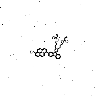 C=CC(=O)OCCCCCC1(CCCCCOC(=O)C=C)c2ccccc2-c2ccc(-c3ccc4ccc5c(Br)ccc6ccc3c4c65)cc21